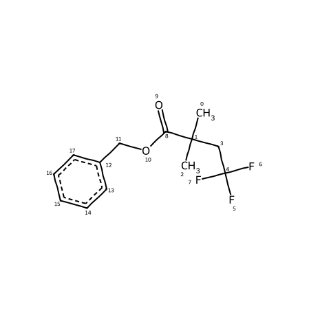 CC(C)(CC(F)(F)F)C(=O)OCc1ccccc1